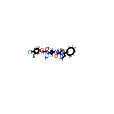 CCC1(C2CCCCCCCC2)NC(C(=O)NC23CC(NC(=O)COc4ccc(Cl)c(F)c4)(C2)C3)CS1